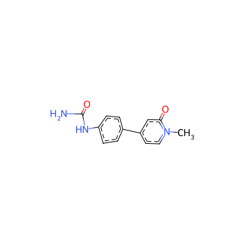 Cn1ccc(-c2ccc(NC(N)=O)cc2)cc1=O